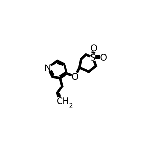 C=CCc1cnccc1OC1CCS(=O)(=O)CC1